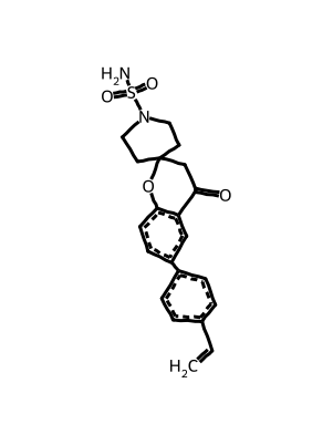 C=Cc1ccc(-c2ccc3c(c2)C(=O)CC2(CCN(S(N)(=O)=O)CC2)O3)cc1